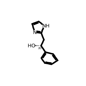 O[C@H](Cc1ncc[nH]1)c1ccccc1